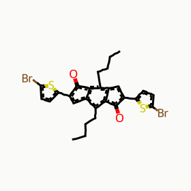 CCCCc1c2cc(-c3ccc(Br)s3)c(=O)c2c(CCCC)c2cc(-c3ccc(Br)s3)c(=O)c12